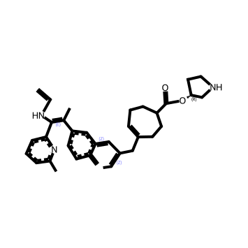 C=CN/C(=C(\C)c1ccc(=C)/c(=C\C(=C/C)CC2=CCCC(C(=O)O[C@@H]3CCNC3)CC2)c1)c1cccc(C)n1